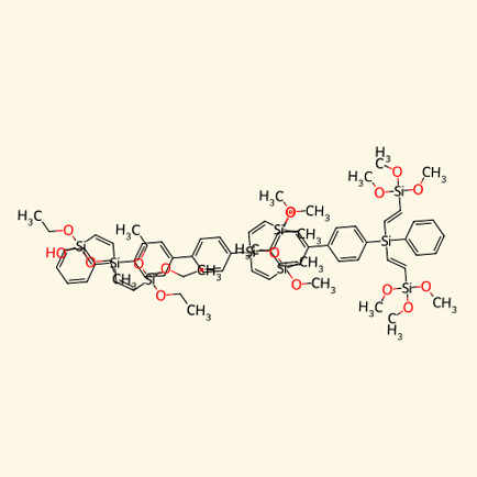 CCO[Si](O)(/C=C\[Si](/C=C\[Si](OCC)(OCC)OCC)(c1ccccc1)c1ccc(-c2ccc([Si](/C=C\[Si](C)(OC)OC)(/C=C\[Si](C)(OC)OC)c3ccc(-c4ccc([Si](C=C[Si](OC)(OC)OC)(C=C[Si](OC)(OC)OC)c5ccccc5)cc4)cc3)cc2)cc1)OCC